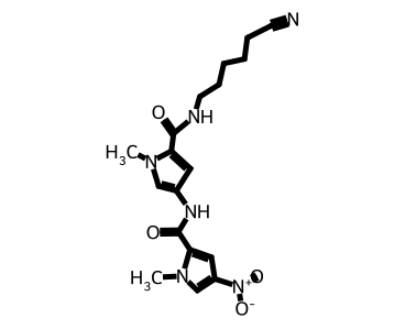 Cn1cc(NC(=O)c2cc([N+](=O)[O-])cn2C)cc1C(=O)NCCCCCC#N